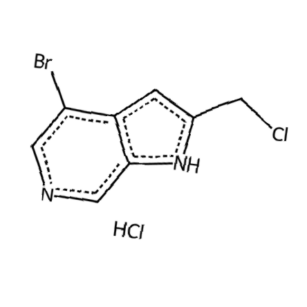 Cl.ClCc1cc2c(Br)cncc2[nH]1